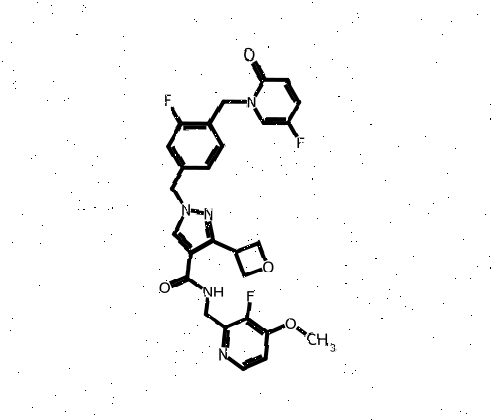 COc1ccnc(CNC(=O)c2cn(Cc3ccc(Cn4cc(F)ccc4=O)c(F)c3)nc2C2COC2)c1F